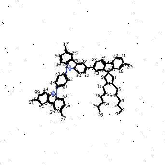 CCCCCCCCC1(CCCCCCCC)c2cc(C)ccc2-c2ccc(-c3ccc4c(c3)c3cc(C)ccc3n4-c3ccc(-n4c5ccc(C)cc5c5cc(C)ccc54)cc3)cc21